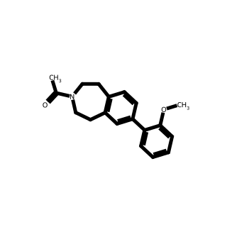 COc1ccccc1-c1ccc2c(c1)CCN(C(C)=O)CC2